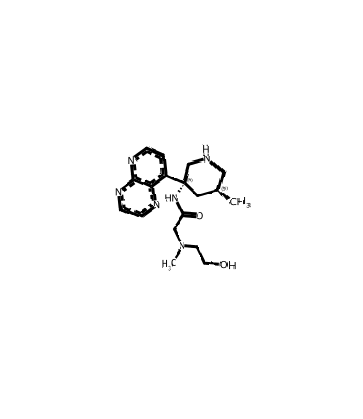 C[C@@H]1CNC[C@](NC(=O)CN(C)CCO)(c2ccnc3nccnc23)C1